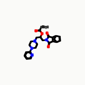 CCCCCCCC(=O)OC(CN1CCN(c2ccccn2)CC1)CN1C(=O)C2C3C=CC(C3)C2C1=O